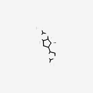 C[C@H]1C(C2COC(O)O2)C[C@H]2OC(O)O[C@H]21